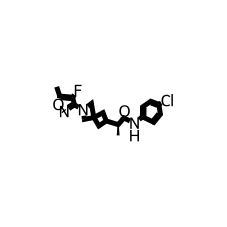 Cc1onc(N2CC3(CC([C@H](C)C(=O)Nc4ccc(Cl)cc4)C3)C2)c1F